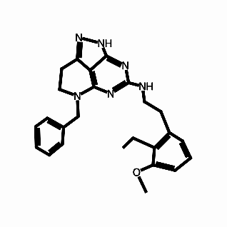 CCc1c(CCNc2nc3c4c(n[nH]c4n2)CCN3Cc2ccccc2)cccc1OC